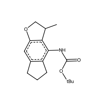 CC1COc2cc3c(c(NC(=O)OC(C)(C)C)c21)CCC3